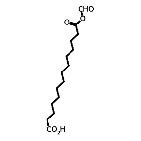 O=COC(=O)CCCCCCCCCCCCC(=O)O